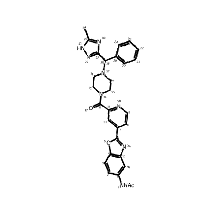 CC(=O)Nc1ccc2oc(-c3ccnc(C(=O)N4CCN([C@H](c5ccccc5)c5n[nH]c(C)n5)CC4)c3)nc2c1